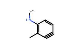 CCCNc1ccc#cc1C